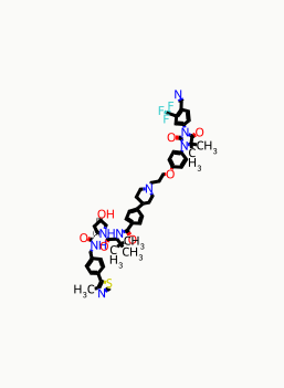 Cc1ncsc1-c1ccc(CNC(=O)[C@@H]2C[C@@H](O)CN2C(=O)C(NC(=O)c2ccc(C3CCN(CCCOc4ccc(N5C(=O)N(c6ccc(C#N)c(C(F)(F)F)c6)C(=O)C5(C)C)cc4)CC3)cc2)C(C)(C)C)cc1